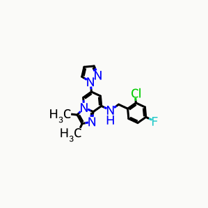 Cc1nc2c(NCc3ccc(F)cc3Cl)cc(-n3cccn3)cn2c1C